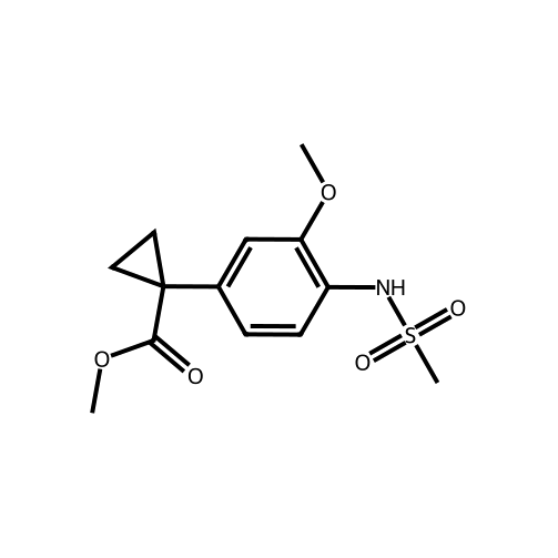 COC(=O)C1(c2ccc(NS(C)(=O)=O)c(OC)c2)CC1